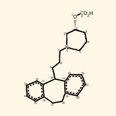 O=C(O)O[C@@H]1CCCN(CCCC2c3ccccc3CCc3ccccc32)C1